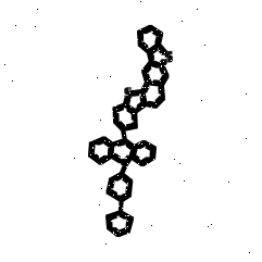 c1ccc(-c2ccc(-c3c4ccccc4c(-c4ccc5sc6c7cc8c(cc7ccc6c5c4)sc4ccccc48)c4ccccc34)cc2)cc1